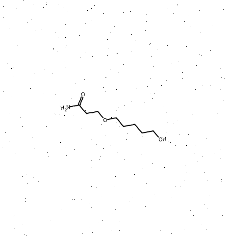 NC(=O)CCOCCCCCO